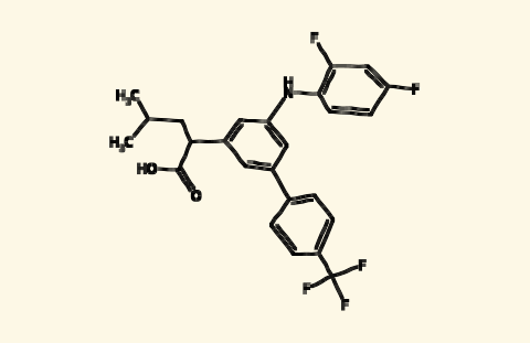 CC(C)CC(C(=O)O)c1cc(Nc2ccc(F)cc2F)cc(-c2ccc(C(F)(F)F)cc2)c1